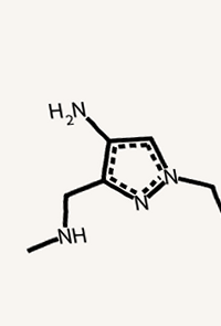 CCn1cc(N)c(CNC)n1